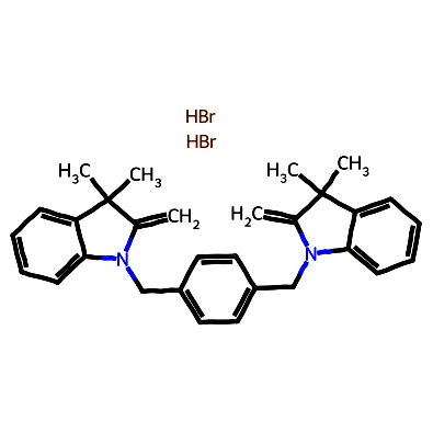 Br.Br.C=C1N(Cc2ccc(CN3C(=C)C(C)(C)c4ccccc43)cc2)c2ccccc2C1(C)C